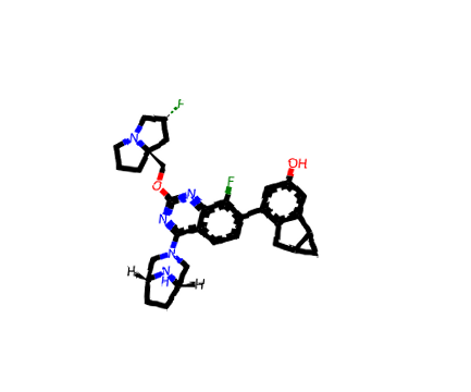 Oc1cc(-c2ccc3c(N4C[C@H]5CC[C@@H](C4)N5)nc(OC[C@@]45CCCN4C[C@H](F)C5)nc3c2F)c2c(c1)C1CC1C2